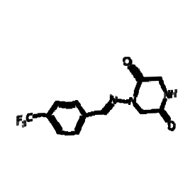 O=C1CN(N=Cc2ccc(C(F)(F)F)cc2)C(=O)CN1